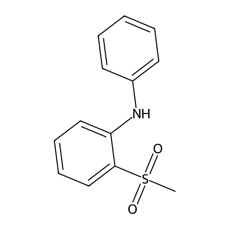 CS(=O)(=O)c1ccccc1Nc1ccccc1